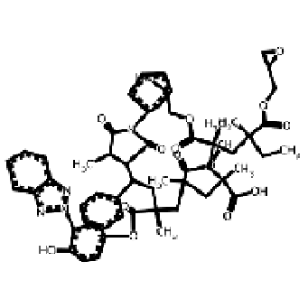 CCC(C)(CC(C)(CC(C)(CC(C)(CC(C)(CC(c1ccccc1)C1C(=O)N(c2ccccc2)C(=O)C1C)C(=O)Oc1ccc(O)c(-n2nc3ccccc3n2)c1)C(=O)OC)C(=O)O)C(=O)OCCO)C(=O)OCC1CO1